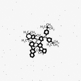 Cc1cc2c(cc1N1B3c4c(cc5c(c4-n4c6cc7ccccc7cc6c6cccc3c64)C(C)(C)c3ccccc3-5)-c3cc(N(c4ccc(C(C)(C)C)cc4)c4ccc(C(C)(C)C)cc4)ccc31)C(C)(C)CCC2(C)C